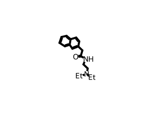 CCN(CC)CCNC(=O)Cc1ccc2ccccc2c1